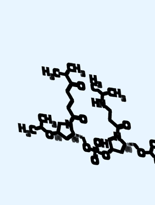 CC(C)NCCC(=O)N1CC(OP(=O)(O)OC[C@@H]2C[C@@H](OC(C)C)CN2C(=O)CCCC(=O)C(C)C)C[C@H]1COC(C)C